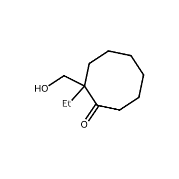 CCC1(CO)CCCCCCC1=O